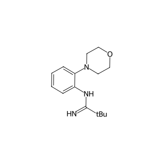 CC(C)(C)C(=N)Nc1ccccc1N1CCOCC1